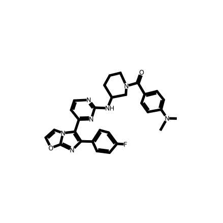 CN(C)c1ccc(C(=O)N2CCCC(Nc3nccc(-c4c(-c5ccc(F)cc5)nc5occn45)n3)C2)cc1